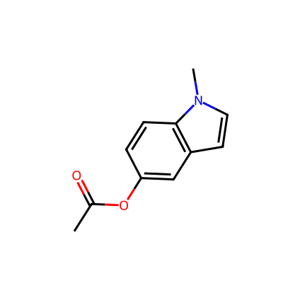 CC(=O)Oc1ccc2c(ccn2C)c1